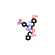 O=C(NC(Cc1ccc(O)cc1)C(=O)NC(Cc1ccccc1)C(=O)O)c1ccc([N+](=O)[O-])cc1